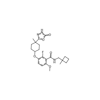 COc1ccc(OC2CCC(C)(c3n[nH]c(=O)o3)CC2)c(F)c1C(=O)N[CH]C1(C)CCC1